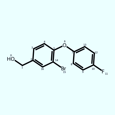 OCc1ccc(Oc2ccc(F)cc2)c(Br)c1